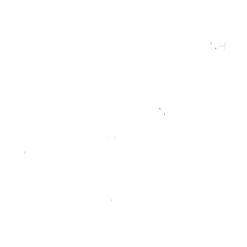 NCCNCC(C=O)OCCO